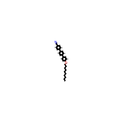 CCCCCCCCCCOc1ccc(-c2ccc(-c3ccc(C#N)cc3)cc2)cc1